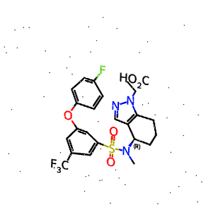 CN([C@@H]1CCCc2c1cnn2CC(=O)O)S(=O)(=O)c1cc(Oc2ccc(F)cc2)cc(C(F)(F)F)c1